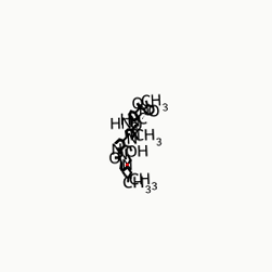 CC1COC[C@H](C)N1C(=O)c1ccc(Nc2cc(-c3ccnc(N4CCn5c(cc6c5CC(C)(C)C6)C4=O)c3CO)nn(C)c2=O)nc1